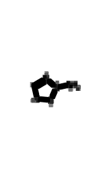 NN1N=CSS1